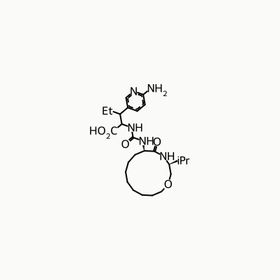 CCC(c1ccc(N)nc1)C(NC(=O)N[C@@H]1CCCCCCCCOC[C@H](C(C)C)NC1=O)C(=O)O